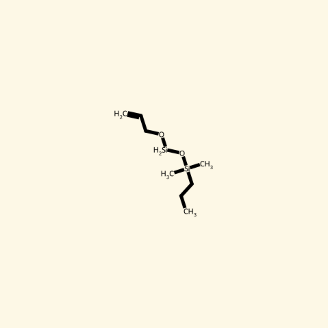 C=CCO[SiH2]O[Si](C)(C)CCC